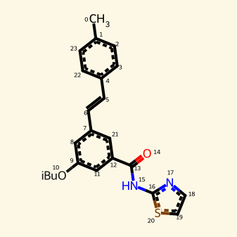 Cc1ccc(C=Cc2cc(OCC(C)C)cc(C(=O)Nc3nccs3)c2)cc1